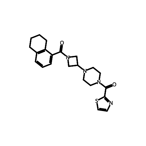 O=C(c1nccs1)N1CCN(C2CN(C(=O)c3cccc4c3CCCC4)C2)CC1